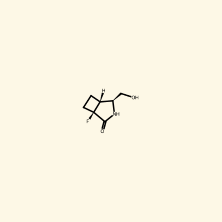 O=C1N[C@H](CO)[C@H]2CC[C@@]12F